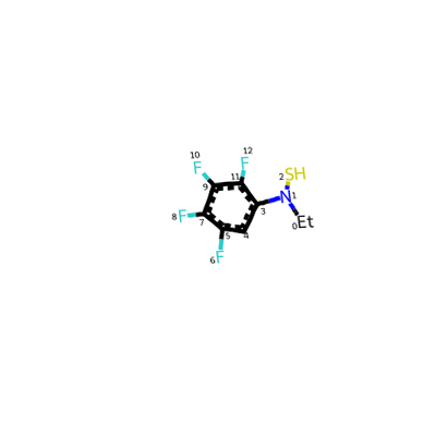 CCN(S)c1cc(F)c(F)c(F)c1F